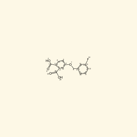 O=C(O)c1ccc(OCc2cccc(F)c2)cc1C(=O)O